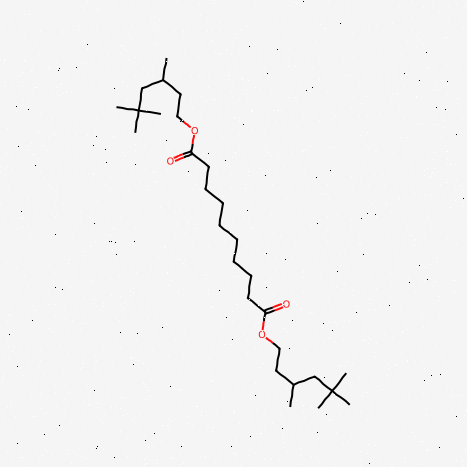 CC(CCOC(=O)CCCCCCCCC(=O)OCCC(C)CC(C)(C)C)CC(C)(C)C